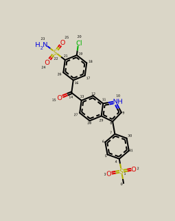 CS(=O)(=O)c1ccc(-c2c[nH]c3cc(C(=O)c4ccc(Cl)c(S(N)(=O)=O)c4)ccc23)cc1